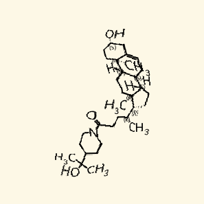 C[C@H](CCC(=O)N1CCC(C(C)(C)O)CC1)[C@H]1CC[C@H]2[C@@H]3CC=C4C[C@@H](O)CC[C@]4(C)[C@H]3CC[C@]12C